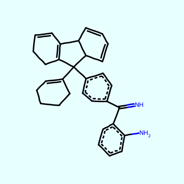 N=C(c1ccc(C2(C3=CCCCC3)C3=C(C=CCC3)C3C=CC=CC32)cc1)c1ccccc1N